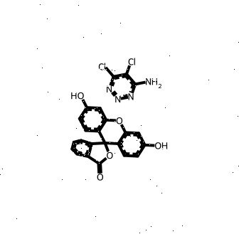 Nc1nnnc(Cl)c1Cl.O=C1OC2(c3ccc(O)cc3Oc3cc(O)ccc32)c2ccccc21